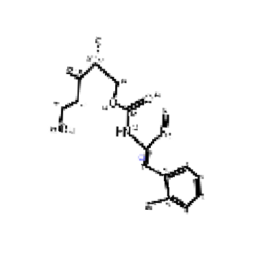 C=N/C(=C\c1ccccc1C)NC(=O)OC[C@@H](C)C(C)CCC(C)CC